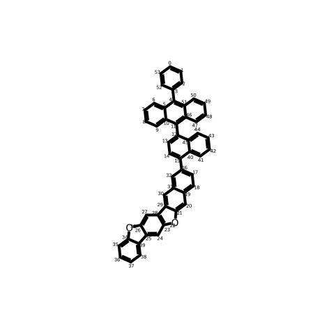 c1ccc(-c2c3ccccc3c(-c3ccc(-c4ccc5cc6oc7cc8c(cc7c6cc5c4)oc4ccccc48)c4ccccc34)c3ccccc23)cc1